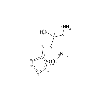 NC(=O)O.NCC(N)CCc1ccccc1